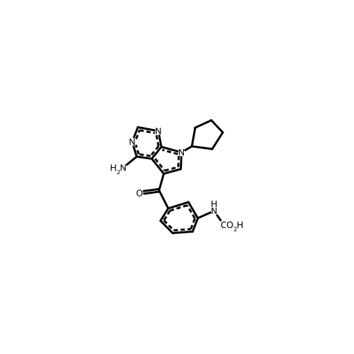 Nc1ncnc2c1c(C(=O)c1cccc(NC(=O)O)c1)cn2C1CCCC1